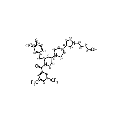 O=C(c1cc(C(F)(F)F)cc(C(F)(F)F)c1)N1CCC(N2CCN(C3CCN(CCCCO)C3)CC2)CC1Cc1ccc(Cl)c(Cl)c1